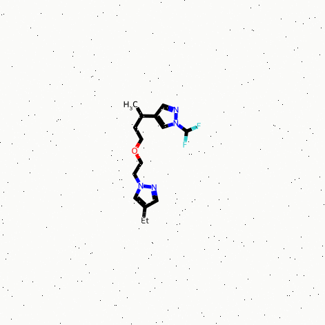 CCc1cnn(CCOCCC(C)c2cnn(C(F)F)c2)c1